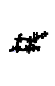 C=C(C)CC[C@@H]1c2nc(cc3[nH]c(cc4nc(cc5[nH]c(c2CC(=C)CC)c(C(=C)NCCC(=C)CC(C)(C)C)c5C)C(CC)=C4C)c(/C=C/C)c3C)[C@H]1C